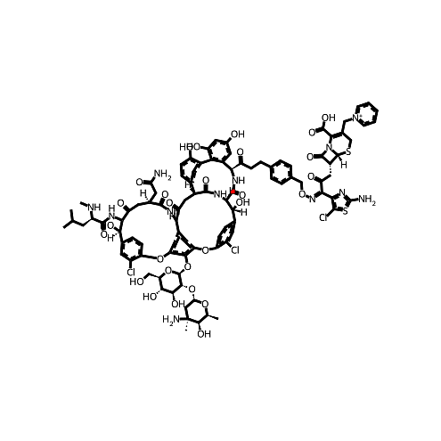 CN[C@H](CC(C)C)C(=O)NC1C(=O)C[C@@H](CC(N)=O)C(=O)N[C@H]2C(=O)C[C@H]3C(=O)N[C@H](C(=O)N[C@H](C(=O)CCc4ccc(CO/N=C(\C(=O)C[C@@H]5C(=O)N6C(C(=O)O)=C(C[n+]7ccccc7)CS[C@H]56)c5nc(N)sc5Cl)cc4)c4cc(O)cc(O)c4-c4cc3ccc4O)[C@H](O)c3ccc(c(Cl)c3)Oc3cc2cc(c3O[C@@H]2O[C@H](CO)[C@@H](O)[C@H](O)[C@H]2O[C@H]2C[C@](C)(N)[C@H](O)[C@H](C)O2)Oc2ccc(cc2Cl)[C@H]1O